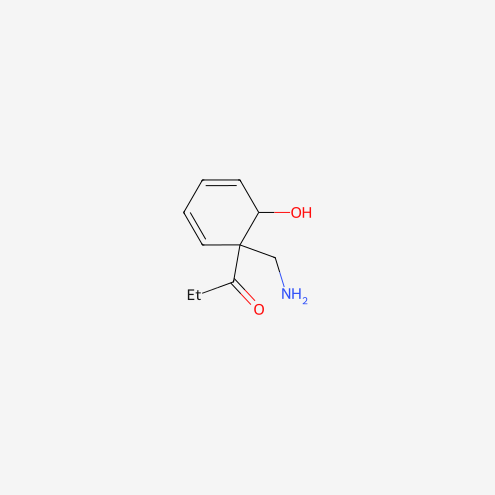 CCC(=O)C1(CN)C=CC=CC1O